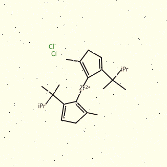 CC1=[C]([Zr+2][C]2=C(C)CC=C2C(C)(C)C(C)C)C(C(C)(C)C(C)C)=CC1.[Cl-].[Cl-]